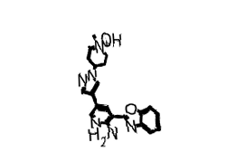 C[N+]1(O)CCC(n2cc(-c3cnc(N)c(-c4nc5ccccc5o4)c3)cn2)CC1